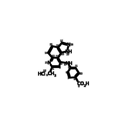 Cc1cc(Nc2ccc(C(=O)O)cc2)c2c(ccc3cn[nH]c32)n1.Cl